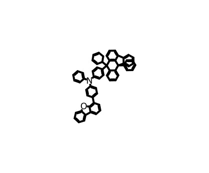 C1=CCC(C2(c3ccc(N(c4ccccc4)c4ccc(-c5cccc6c5oc5ccccc56)cc4)cc3)c3ccccc3C3(c4ccccc4)c4ccccc4-c4cccc2c43)C=C1